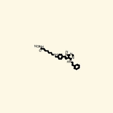 O=C(CCCCCCNCc1ccc(-c2cc3c(NCCc4ccccc4)ncnc3[nH]2)cc1)NO